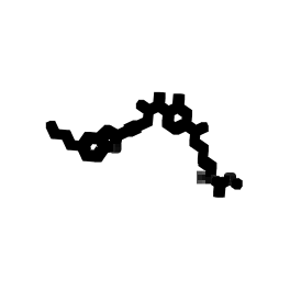 C=C(N/C=C/CCC(C)C1=CC=C(C(=C)C(C)CC#Cc2cc3cc(CCCC)ccc3o2)C(=C)C1)OC